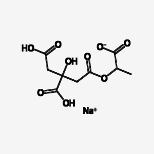 CC(OC(=O)CC(O)(CC(=O)O)C(=O)O)C(=O)[O-].[Na+]